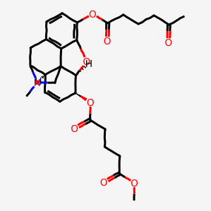 COC(=O)CCCC(=O)O[C@H]1C=C[C@H]2C3Cc4ccc(OC(=O)CCCC(C)=O)c5c4C2(CN3C)[C@H]1O5